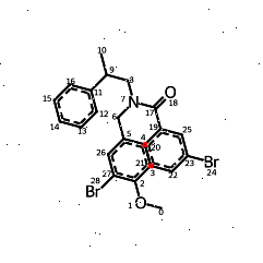 COc1ccc(CN(CC(C)c2ccccc2)C(=O)c2cccc(Br)c2)cc1Br